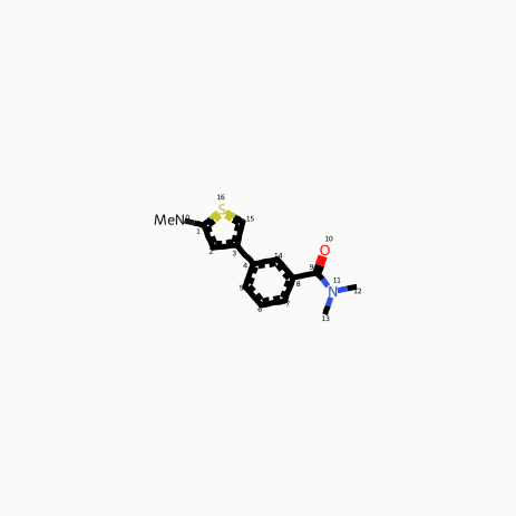 CNc1cc(-c2cccc(C(=O)N(C)C)c2)cs1